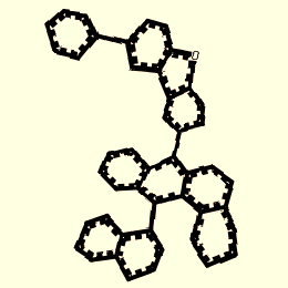 c1ccc(-c2ccc3oc4ccc(-c5c6ccccc6c(-c6cccc7ccccc67)c6c5ccc5ccccc56)cc4c3c2)cc1